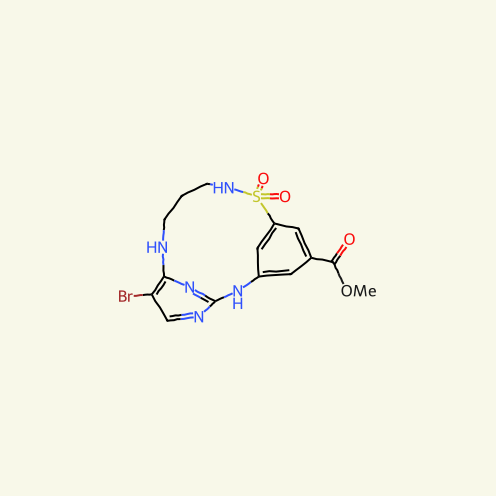 COC(=O)c1cc2cc(c1)S(=O)(=O)NCCCNc1nc(ncc1Br)N2